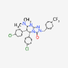 CN(C)c1nc2nn(Cc3ccc(C(F)(F)F)cc3)c(=O)n2c(-c2ccc(Cl)cc2)c1-c1ccc(Cl)cc1